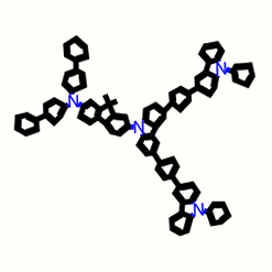 CC1(C)c2cc(N(c3ccc(-c4ccccc4)cc3)c3ccc(-c4ccccc4)cc3)ccc2-c2ccc(-n3c4ccc(-c5ccc(-c6ccc7c(c6)c6ccccc6n7-c6ccccc6)cc5)cc4c4cc(-c5ccc(-c6ccc7c(c6)c6ccccc6n7-c6ccccc6)cc5)ccc43)cc21